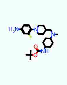 CN(CC1CCN(c2ccc(N)cc2F)CC1)C1CCC(NC(=O)OC(C)(C)C)CC1